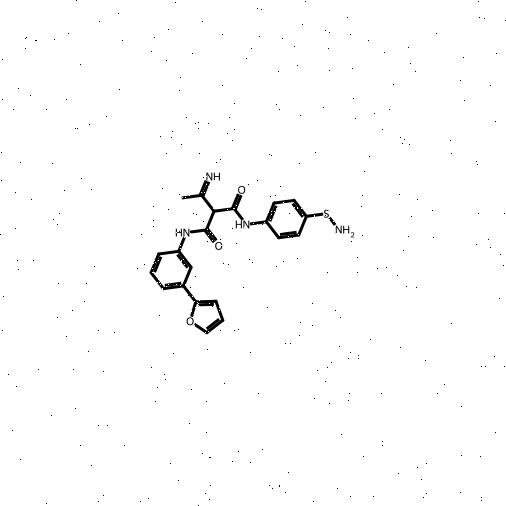 CC(=N)C(C(=O)Nc1ccc(SN)cc1)C(=O)Nc1cccc(-c2ccco2)c1